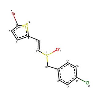 [O-][S+](/C=C/c1ccc(Br)s1)Cc1ccc(Cl)cc1